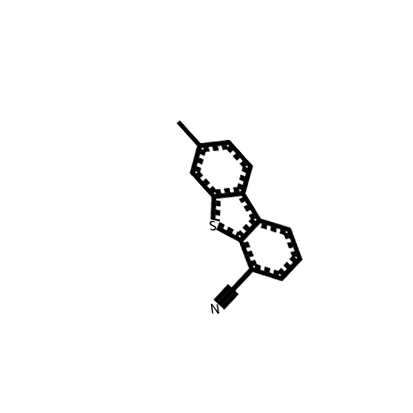 Cc1ccc2c(c1)sc1c(C#N)cccc12